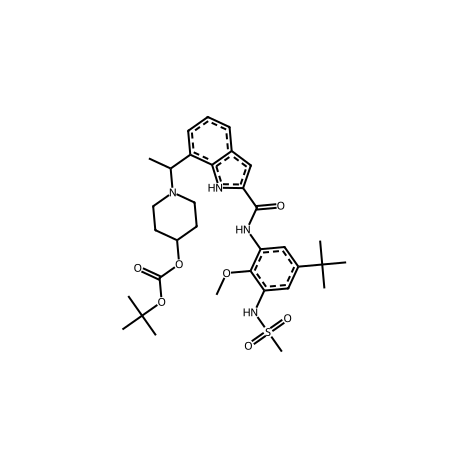 COc1c(NC(=O)c2cc3cccc(C(C)N4CCC(OC(=O)OC(C)(C)C)CC4)c3[nH]2)cc(C(C)(C)C)cc1NS(C)(=O)=O